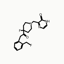 O=C(Cc1ccccc1CF)C1(F)CCN(Cc2ncc[nH]c2=O)CC1